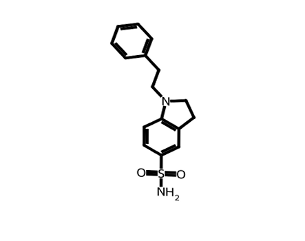 NS(=O)(=O)c1ccc2c(c1)CCN2CCc1ccccc1